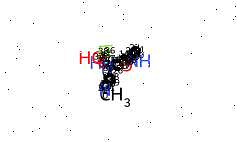 CN1CCc2cc(-c3n[nH]c4cc([C@@H]5C[C@@]56C(=O)Nc5ccccc56)ccc34)ccc2C1.O=C(O)C(F)(F)F